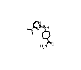 CN(C)c1ccnc(NC2CCC(C(N)=O)CC2)n1.Cl